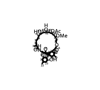 CO[C@H]1/C=C/O[C@@]2(C)Oc3c(C)c(O)c4c(=O)c(c5oc6cc(C)ccc6nc-5c4c3C2=O)NC(=O)/C(C)=C\C=C\[C@H](C)[C@H](O)[C@@H](C)[C@@H](O)[C@@H](C)[C@H](OC(C)=O)[C@@H]1C